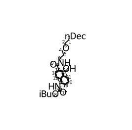 CCCCCCCCCCCCOCCCNC(=O)c1ccc2c(NC(=O)OCC(C)C)cccc2c1O